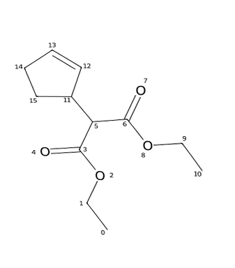 CCOC(=O)C(C(=O)OCC)C1C=CCC1